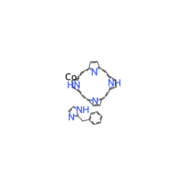 C1=Cc2cc3ccc(cc4nc(cc5ccc(cc1n2)[nH]5)C=C4)[nH]3.[Co].c1ccc(Cc2ncc[nH]2)cc1